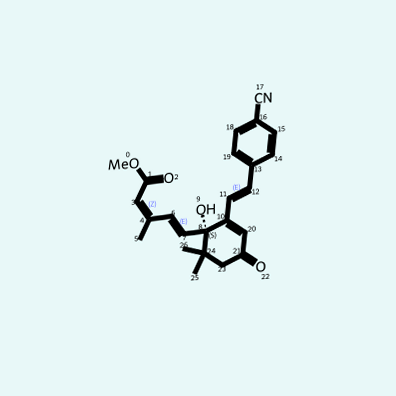 COC(=O)/C=C(C)\C=C\[C@@]1(O)C(/C=C/c2ccc(C#N)cc2)=CC(=O)CC1(C)C